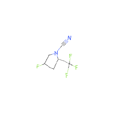 N#CN1CC(F)CC1C(F)(F)F